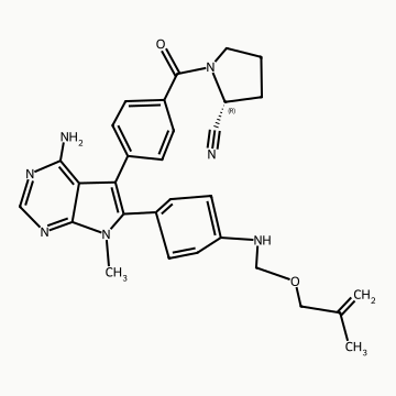 C=C(C)COCNc1ccc(-c2c(-c3ccc(C(=O)N4CCC[C@@H]4C#N)cc3)c3c(N)ncnc3n2C)cc1